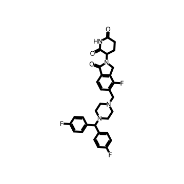 O=C1CCC(N2Cc3c(ccc(CN4CCN(C(c5ccc(F)cc5)c5ccc(F)cc5)CC4)c3F)C2=O)C(=O)N1